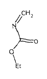 C=NC(=O)OCC